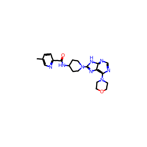 Cc1ccc(C(=O)NC2CCN(c3nc4c(N5CCOCC5)ncnc4[nH]3)CC2)nc1